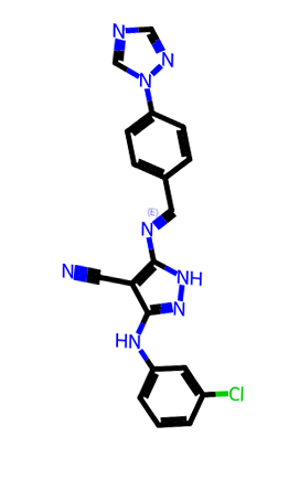 N#Cc1c(Nc2cccc(Cl)c2)n[nH]c1/N=C/c1ccc(-n2cncn2)cc1